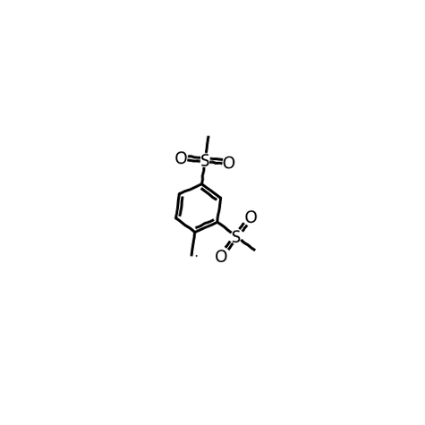 [CH2]c1ccc(S(C)(=O)=O)cc1S(C)(=O)=O